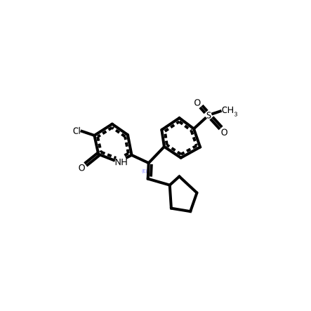 CS(=O)(=O)c1ccc(/C(=C\C2CCCC2)c2ccc(Cl)c(=O)[nH]2)cc1